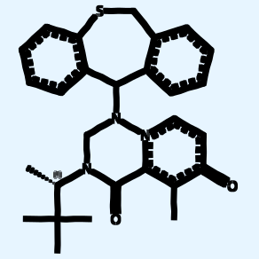 Cc1c2n(ccc1=O)N(C1c3ccccc3CSc3ccccc31)CN([C@@H](C)C(C)(C)C)C2=O